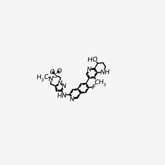 Cc1c(-c2cc3cc(Nc4cc5n(n4)CS(=O)(=O)N(C)C5)ncc3cc2F)cnc2c1NCCC2O